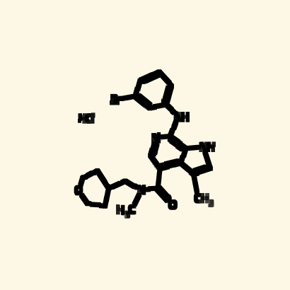 Cc1c[nH]c2c(Nc3cccc(Br)c3)ncc(C(=O)N(C)CC3CCOCC3)c12.Cl